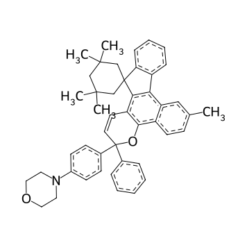 Cc1ccc2c3c(c4c(c2c1)-c1ccccc1C41CC(C)(C)CC(C)(C)C1)C=CC(c1ccccc1)(c1ccc(N2CCOCC2)cc1)O3